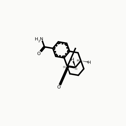 NC(=O)c1ccc2c(c1)[C@]13CCC[C@H](C2)[C@@H]1CCC(=O)C3